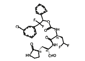 O=C[C@H](C[C@@H]1CCNC1=O)NC(=O)[C@H](CC(F)F)NC(=O)OC(c1ccccc1)C(F)(F)c1cccc(Cl)c1